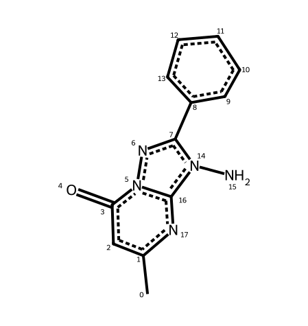 Cc1cc(=O)n2nc(-c3ccccc3)n(N)c2n1